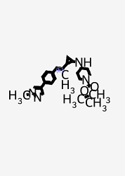 C/C(=C\c1ccc(-c2cnn(C)c2)cc1)C1CC1NC1CCN(C(=O)OC(C)(C)C)CC1